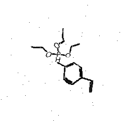 C=Cc1ccc(C[PH](OCC)(OCC)OCC)cc1